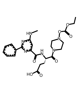 CCOC(=O)ON1CCN(C(=O)[C@H](CCC(=O)O)NC(=O)c2cc(NC)nc(-c3ccccc3)n2)CC1